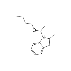 CCCCOC(C)N1c2ccccc2CC1C